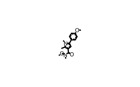 COc1ccc(-c2cc(C(=O)N(C)OC)c(C)n2C)cc1